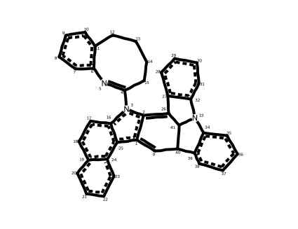 C1=c2c(n(/C3=N/c4ccccc4CCCC3)c3ccc4ccccc4c23)=C2c3ccccc3N3c4ccccc4C1C23